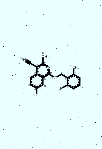 Cc1cccc(F)c1COc1nc(O)c(C#N)c2ccc(F)cc12